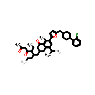 CCCC(CC1CC(=O)c2c(C)c(-c3ccc(CC4CCC(c5ccccc5F)CC4)o3)cc(C(C)C)c2C1)C(CC)C(=O)CC(C)=O